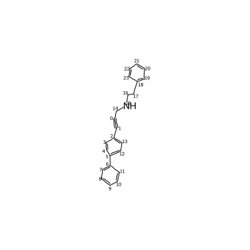 C(#Cc1ccc(-c2ccccc2)cc1)CNCCc1ccccc1